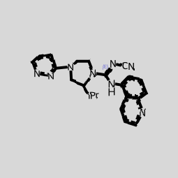 CC(C)C1CN(c2cccnn2)CCN1/C(=N/C#N)Nc1cccc2ncccc12